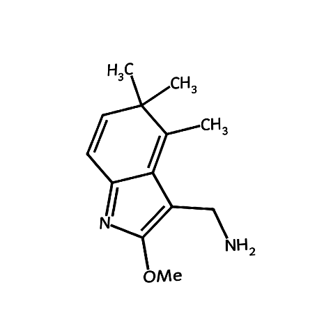 COC1=C(CN)C2=C(C)C(C)(C)C=CC2=N1